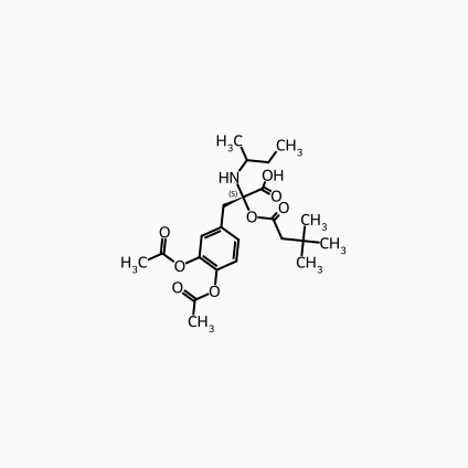 CCC(C)N[C@@](Cc1ccc(OC(C)=O)c(OC(C)=O)c1)(OC(=O)CC(C)(C)C)C(=O)O